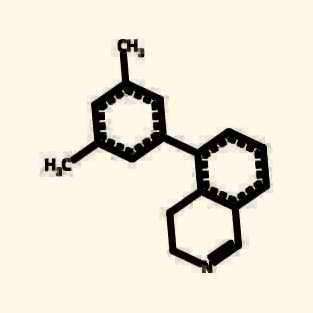 Cc1cc(C)cc(-c2cccc3c2CCN=C3)c1